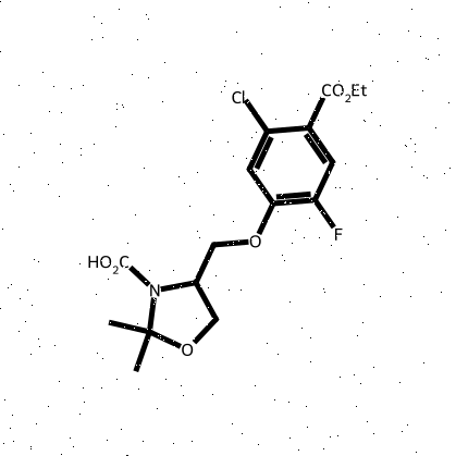 CCOC(=O)c1cc(F)c(OCC2COC(C)(C)N2C(=O)O)cc1Cl